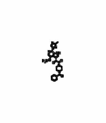 BOc1cnc(-n2cnc(C)n2)c2[nH]cc(C(=O)C(=O)N3CCN(C(=O)c4ccccc4)CC3)c12